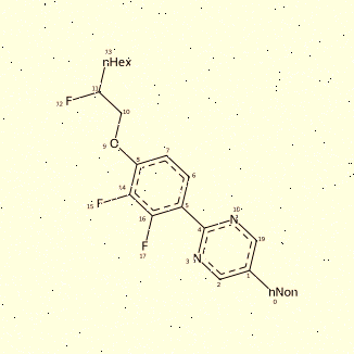 CCCCCCCCCc1cnc(-c2ccc(OCC(F)CCCCCC)c(F)c2F)nc1